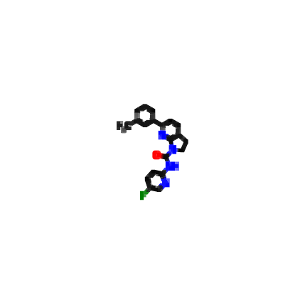 O=C(Nc1ccc(F)cn1)N1CCc2ccc(-c3cccc(C(F)(F)F)c3)nc21